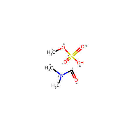 CN(C)C=O.COS(=O)(=O)O